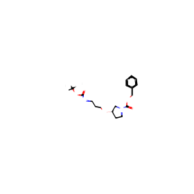 CC(C)(C)OC(=O)NCCCO[C@@H]1CCN(C(=O)OCc2ccccc2)C1